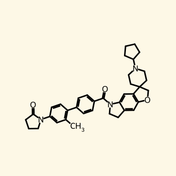 Cc1cc(N2CCCC2=O)ccc1-c1ccc(C(=O)N2CCc3cc4c(cc32)C2(CCN(C3CCCC3)CC2)CO4)cc1